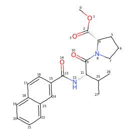 COC(=O)[C@@H]1CCCN1C(=O)[C@@H](NC(=O)c1ccc2ccccc2c1)C(C)C